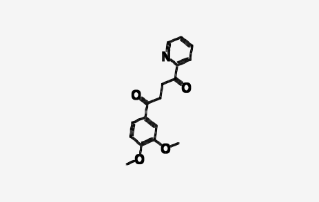 COc1ccc(C(=O)CCC(=O)c2ccccn2)cc1OC